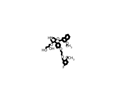 COc1ccc(F)cc1COCCCOc1ccc(C2[C@@H](OCc3cc(OC)c4ccccc4c3)CNC[C@@H]2OCC(O)CO)cc1